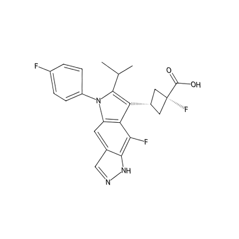 CC(C)c1c([C@H]2C[C@](F)(C(=O)O)C2)c2c(F)c3[nH]ncc3cc2n1-c1ccc(F)cc1